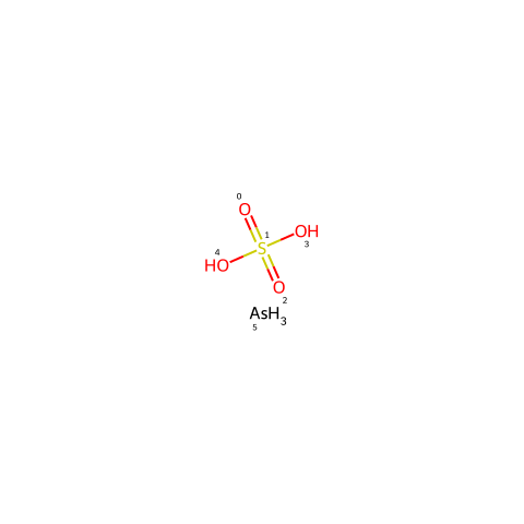 O=S(=O)(O)O.[AsH3]